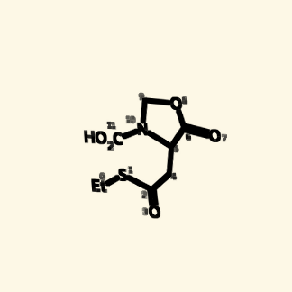 CCSC(=O)CC1C(=O)OCN1C(=O)O